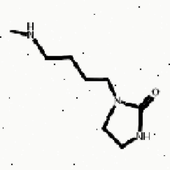 CNCCCCN1CCNC1=O